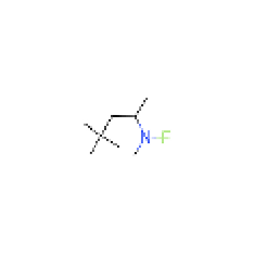 CC(CC(C)(C)C)N(C)F